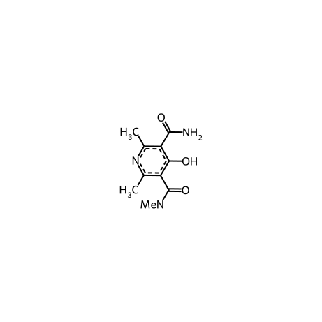 CNC(=O)c1c(C)nc(C)c(C(N)=O)c1O